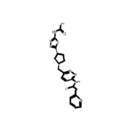 CC(C)C(=O)Nc1nnc([C@H]2CC[C@@H](Cc3ccc(NC(=O)Cc4ccccn4)nn3)C2)s1